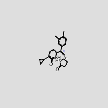 Cc1ccc(/C(=C/[C@H]2CCC(=O)N2)c2ccc(C3CC3)c(=O)[nH]2)cc1C